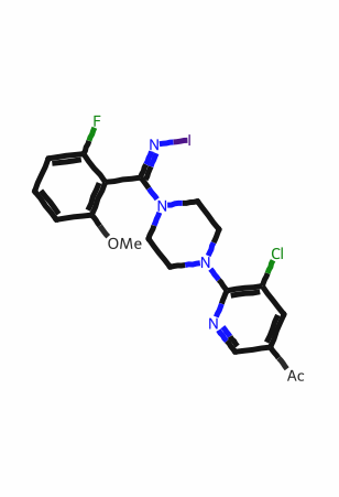 COc1cccc(F)c1/C(=N/I)N1CCN(c2ncc(C(C)=O)cc2Cl)CC1